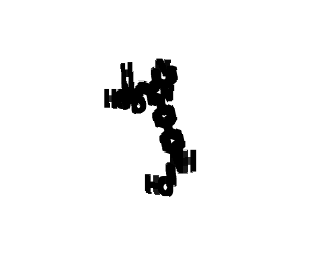 O=C(Cc1cc(-c2ccc(-c3ccc(NCCO)cc3)cc2)nc2ccncc12)NO